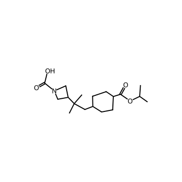 CC(C)OC(=O)C1CCC(CC(C)(C)C2CN(C(=O)O)C2)CC1